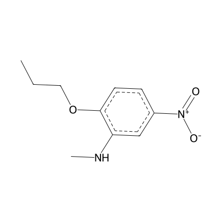 CCCOc1ccc([N+](=O)[O-])cc1NC